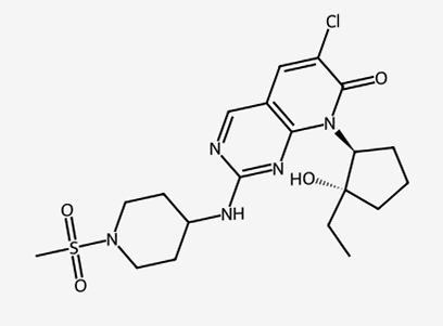 CC[C@]1(O)CCC[C@@H]1n1c(=O)c(Cl)cc2cnc(NC3CCN(S(C)(=O)=O)CC3)nc21